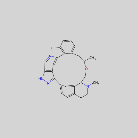 CC1Cc2cccc(F)c2-c2cc3c(n[nH]c3cn2)-c2ccc3c(c2)C(CO1)N(C)CC3